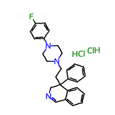 Cl.Cl.Fc1ccc(N2CCN(CCC3(c4ccccc4)CN=Cc4ccccc43)CC2)cc1